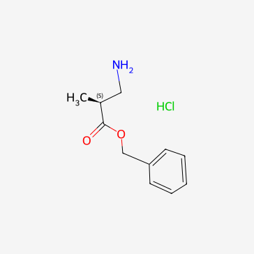 C[C@@H](CN)C(=O)OCc1ccccc1.Cl